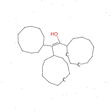 OC(=C(C1CCCCCCCCC1)C1CCCCCCCCC1)C1CCCCCCCCC1